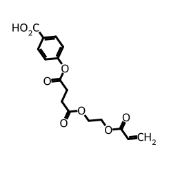 C=CC(=O)OCCOC(=O)CCC(=O)Oc1ccc(C(=O)O)cc1